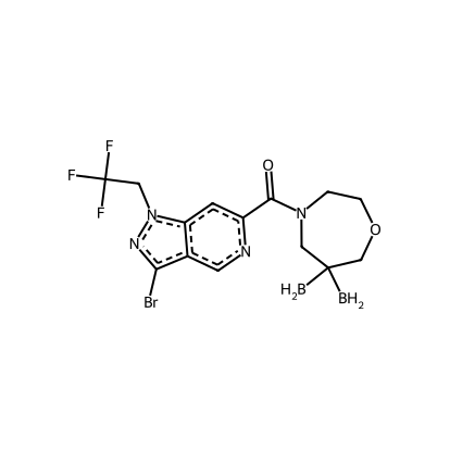 BC1(B)COCCN(C(=O)c2cc3c(cn2)c(Br)nn3CC(F)(F)F)C1